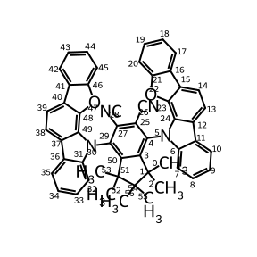 CC1(C)c2c(-n3c4ccccc4c4ccc5c6ccccc6oc5c43)c(C#N)c(C#N)c(-n3c4ccccc4c4ccc5c6ccccc6oc5c43)c2C(C)(C)C1(C)C